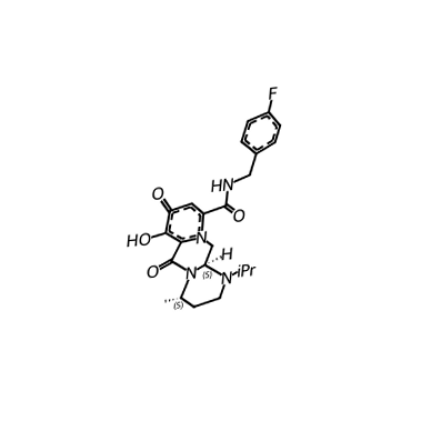 CC(C)N1CC[C@H](C)N2C(=O)c3c(O)c(=O)cc(C(=O)NCc4ccc(F)cc4)n3C[C@@H]12